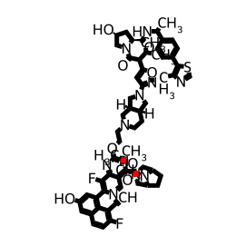 C#Cc1c(F)ccc2cc(O)cc(-c3ncc4c(N5CC6CCC(C5)N6C(=O)OC(C)(C)C)nc(OCCN5CC[C@H]6CN(c7cc(C(C(=O)N8C[C@H](O)C[C@H]8C(=O)NC(C)c8ccc(-c9scnc9C)cc8)C(C)C)on7)C[C@H]6C5)nc4c3F)c12